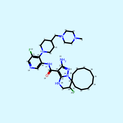 CN1CCN(CC2CCN(c3c(F)cncc3NC(=O)c3c(N)nn4c3NCC(F)C43CCCCCCCCC3)CC2)CC1